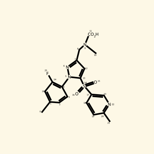 Cc1ccc(-n2nc(CN(C)C(=O)O)cc2S(=O)(=O)c2ccc(C)nc2)c(F)c1